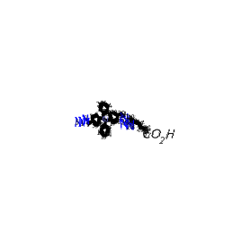 [N-]=[N+]=NCc1ccc(/C(=C(\c2ccccc2)c2ccc(Cn3cc(CCCC(=O)O)nn3)cc2)c2ccccc2)cc1